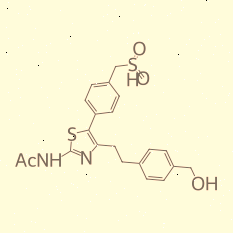 CC(=O)Nc1nc(CCc2ccc(CO)cc2)c(-c2ccc(C[SH](=O)=O)cc2)s1